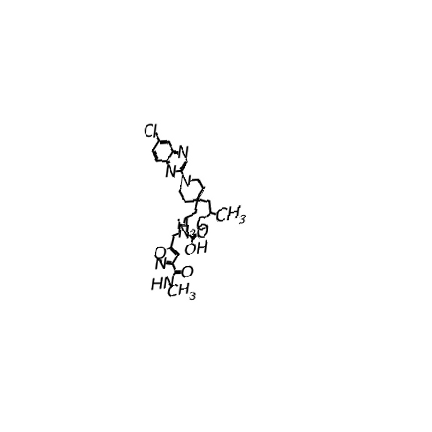 CNC(=O)c1cc(CN(CCC2(CC(C)C)CCN(c3cnc4cc(Cl)ccc4n3)CC2)C(=O)O)on1